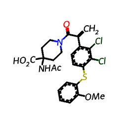 C=C(C(=O)N1CCC(NC(C)=O)(C(=O)O)CC1)c1ccc(Sc2ccccc2OC)c(Cl)c1Cl